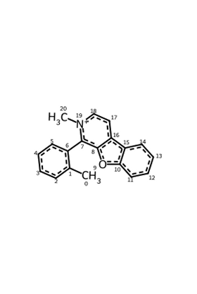 Cc1ccccc1-c1c2oc3ccccc3c2cc[n+]1C